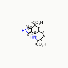 O=C(O)C1CC2CCC[C@@H](C(=O)O)NC2c2c[nH]cc21